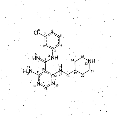 N=C(Nc1cccc(Cl)c1)c1c(N)ncnc1NCC1CCNCC1